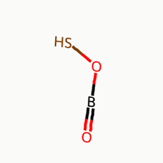 O=BOS